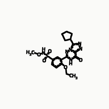 CCOc1ccc(S(=O)(=O)NOC)cc1-c1nn2c(C3CCCC3)nnc2c(=O)[nH]1